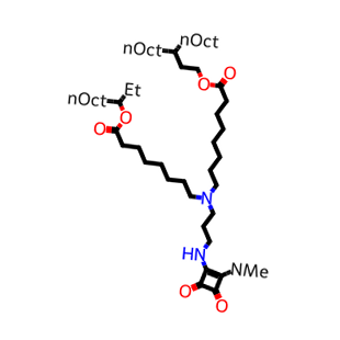 CCCCCCCCC(CCCCCCCC)CCOC(=O)CCCCCCCN(CCCCCCCC(=O)OC(CC)CCCCCCCC)CCCNc1c(NC)c(=O)c1=O